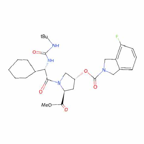 COC(=O)[C@@H]1C[C@@H](OC(=O)N2Cc3cccc(F)c3C2)CN1C(=O)[C@@H](NC(=O)NC(C)(C)C)C1CCCCC1